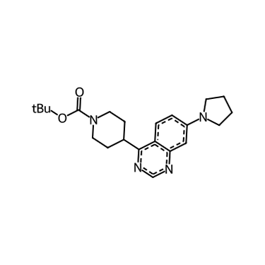 CC(C)(C)OC(=O)N1CCC(c2ncnc3cc(N4CCCC4)ccc23)CC1